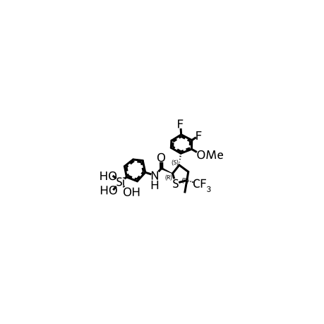 COc1c([C@@H]2C[C@](C)(C(F)(F)F)S[C@H]2C(=O)Nc2cccc([Si](O)(O)O)c2)ccc(F)c1F